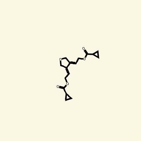 O=C(OCC=C1COCC1=CCOC(=O)C1CC1)C1CC1